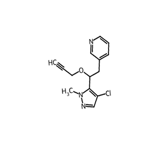 C#CCOC(Cc1cccnc1)c1c(Cl)cnn1C